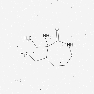 CCC1CCCNC(=O)C1(N)CC